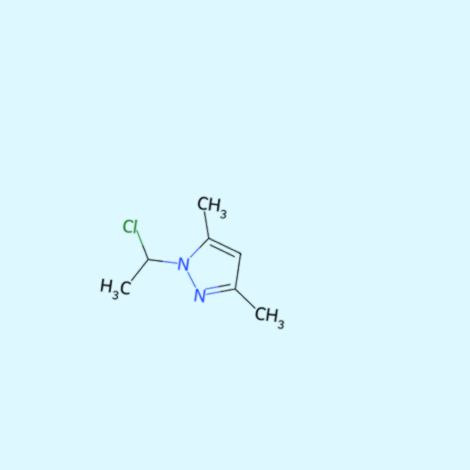 Cc1cc(C)n(C(C)Cl)n1